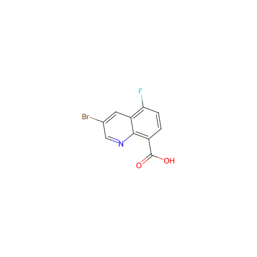 O=C(O)c1ccc(F)c2cc(Br)cnc12